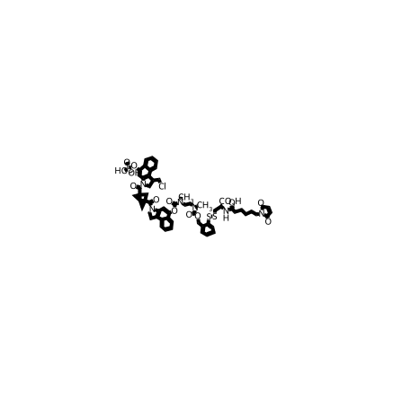 CN(CCN(C)C(=O)Oc1cc2c(c3ccccc13)CCN2C(=O)C12CC3(C(=O)N4CC(CCl)c5c4cc(OP(=O)(O)O)c4ccccc54)CC13C2)C(=O)OCc1ccccc1SSC[C@H](NC(=O)CCCCCN1C(=O)C=CC1=O)C(=O)O